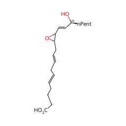 CCCCC[C@H](O)C=CC1OC1CC=CCC=CCCCC(=O)O